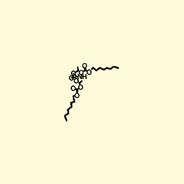 CCCCCCCCOC(=O)OC(C)OP([NH])(=O)OC(C)OC(=O)OCCCCCCCC